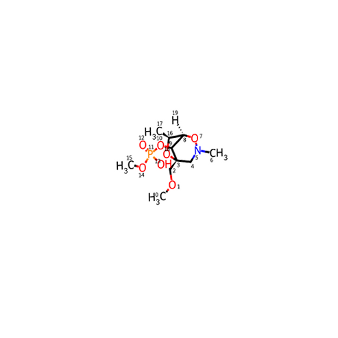 COC[C@]12CN(C)O[C@@H](C1OP(=O)(O)OC)[C@H](C)O2